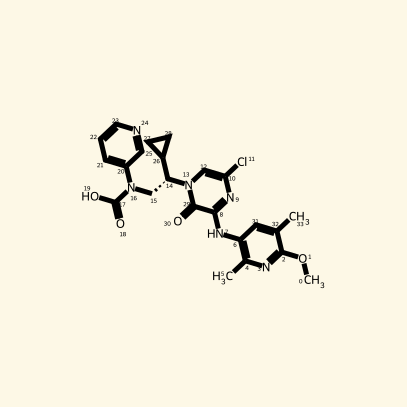 COc1nc(C)c(Nc2nc(Cl)cn([C@H](CN(C(=O)O)c3cccnc3)C3CC3)c2=O)cc1C